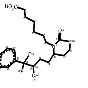 O=C(O)CCCCCCN1C(=O)SCCC1CC[C@@H](O)C(F)(F)c1ccccc1